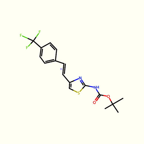 CC(C)(C)OC(=O)Nc1nc(/C=C/c2ccc(C(F)(F)F)cc2)cs1